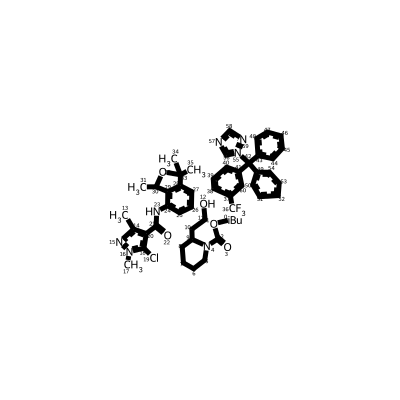 CCC(C)OC(=O)N1CCCCC1CCO.Cc1nn(C)c(Cl)c1C(=O)Nc1cccc2c1C(C)OC2(C)C.FC(F)(F)c1cccc(C(c2ccccc2)(c2ccccc2)n2cncn2)c1